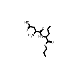 CCCOC(=O)C(CCC)NC(=O)C(N)CC(=O)O